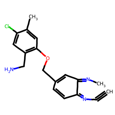 C#C/N=C1/C=CC(COc2cc(C)c(Cl)cc2CN)=C/C1=N/C